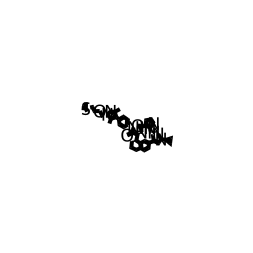 Cc1nn(COCCS(C)(C)C)c(C)c1-c1ccc(NC(=O)[C@@H](NC(=O)c2ccnn2C)[C@@H]2CCCc3ccc(-c4cnn(C5CC5)c4)cc32)cc1